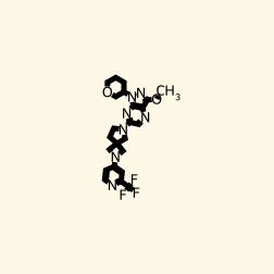 COc1nn(C2CCCOC2)c2nc(N3CCC4(CN(c5ccnc(C(F)(F)F)c5)C4)C3)cnc12